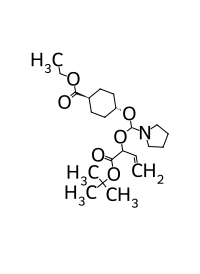 C=CC(OC(O[C@H]1CC[C@H](C(=O)OCC)CC1)N1CCCC1)C(=O)OC(C)(C)C